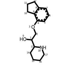 OC(COc1cccc2c1CCC2)C1CCCCN1